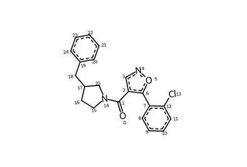 O=C(c1cnoc1-c1ccccc1Cl)N1CCC(Cc2ccccc2)C1